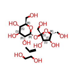 C=CC.OCCO.OC[C@H]1O[C@@](CO)(O[C@H]2O[C@H](CO)[C@@H](O)[C@H](O)[C@H]2O)[C@@H](O)[C@@H]1O